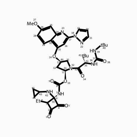 CCC1C(=O)C(=O)[C@]1(NC(=O)O[C@H]1C[C@@H](Oc2cc(-n3cccn3)nc3cc(OC)ccc23)CN1C(=O)[C@@H](NC(=O)NC(C)(C)C)C(C)(C)C)NC1CC1